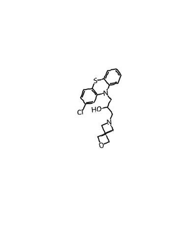 OC(CN1CC2(COC2)C1)CN1c2ccccc2Sc2ccc(Cl)cc21